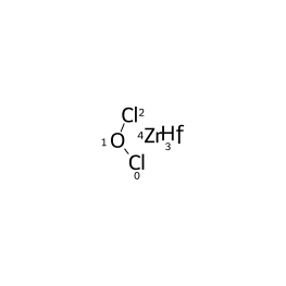 ClOCl.[Hf].[Zr]